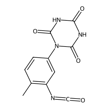 Cc1ccc(-n2c(=O)[nH]c(=O)[nH]c2=O)cc1N=C=O